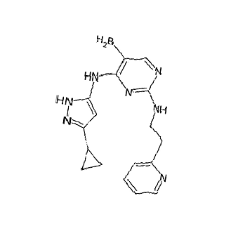 Bc1cnc(NCCc2ccccn2)nc1Nc1cc(C2CC2)n[nH]1